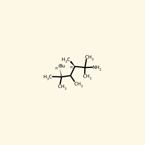 CC[C@@H](C)C(C)(C)C(C)[C@@H](C)C(C)(C)N